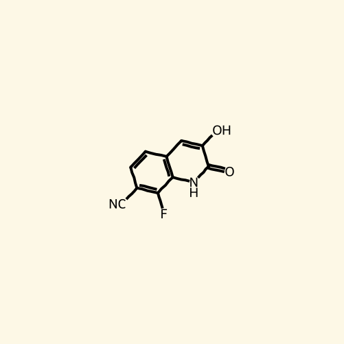 N#Cc1ccc2cc(O)c(=O)[nH]c2c1F